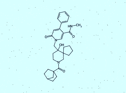 CNC(=O)c1cn(CC2(O)CCN(C(=O)C34CCC(CC3)C4)CC23CCCC3)c(=O)cc1-c1ccccc1